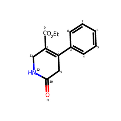 CCOC(=O)C1=C(c2ccccc2)CC(=O)NC1